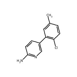 Cc1ccc(Cl)c(-c2ccc(N)nc2)c1